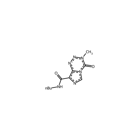 CCCCNC(=O)c1ncn2c(=O)n(C)nnc12